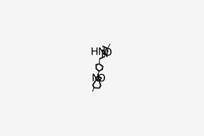 CC1=CNN(C=Cc2ccc(-c3nc4cc(C)ccc4o3)cc2)O1